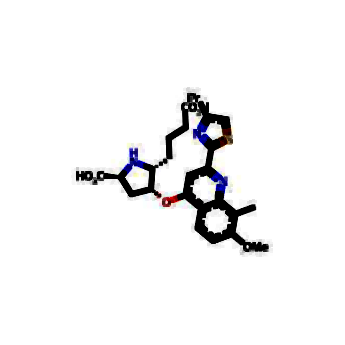 COc1ccc2c(O[C@@H]3C[C@@H](C(=O)O)N[C@@H]3CCCC(=O)O)cc(-c3nc(C(C)C)cs3)nc2c1C